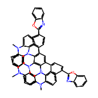 CN1c2ccccc2N(c2c(-c3ccc(-c4nc5ccccc5o4)cc3)cc(-c3ccc(-c4nc5ccccc5o4)cc3)c(N3c4ccccc4N(C)c4ccccc43)c2N2c3ccccc3N(C)c3ccccc32)c2ccccc21